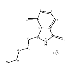 C=C1C=CC=C2C(=O)NC(CCCCC)C12.S